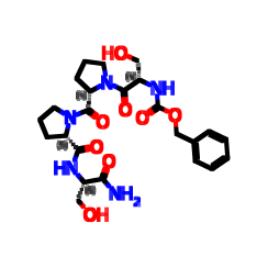 NC(=O)[C@H](CO)NC(=O)[C@@H]1CCCN1C(=O)[C@@H]1CCCN1C(=O)[C@H](CO)NC(=O)OCc1ccccc1